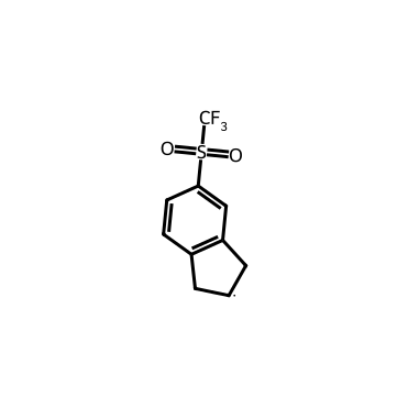 O=S(=O)(c1ccc2c(c1)C[CH]C2)C(F)(F)F